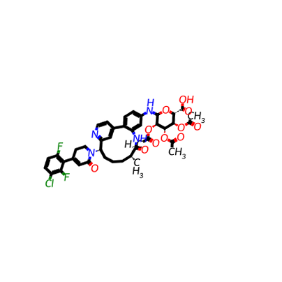 CC(=O)O[C@H]1[C@H](OC(C)=O)[C@@H](OC(C)=O)C(Nc2ccc3c(c2)NC(=O)[C@H](C)CCC[C@H](N2CCC(c4c(F)ccc(Cl)c4F)=CC2=O)c2cc-3ccn2)O[C@@H]1C(=O)O